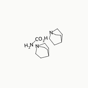 C1CN2CCC1CC2.C1CN2CCC1CC2.NC(=O)O